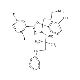 CC(C)(CNc1[c]cccc1)C(=O)N1N=C(c2cc(F)ccc2F)OC1(CCCN)c1cccc(O)c1